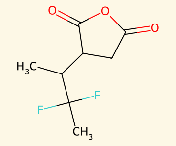 CC(C1CC(=O)OC1=O)C(C)(F)F